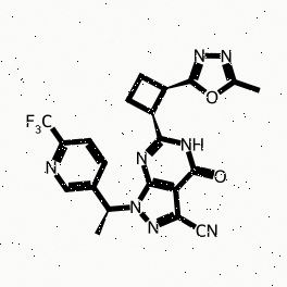 Cc1nnc([C@@H]2CC[C@@H]2c2nc3c(c(C#N)nn3[C@@H](C)c3ccc(C(F)(F)F)nc3)c(=O)[nH]2)o1